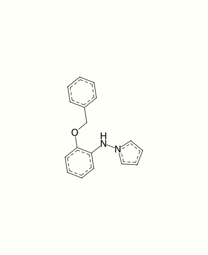 c1ccc(COc2ccccc2Nn2cccc2)cc1